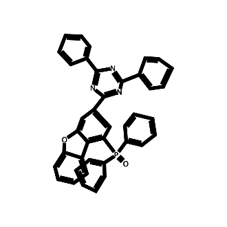 O=P(c1ccccc1)(c1ccccc1)c1cc(-c2nc(-c3ccccc3)nc(-c3ccccc3)n2)cc2oc3ccccc3c12